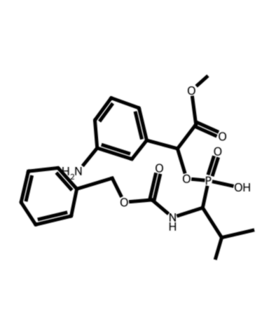 COC(=O)C(OP(=O)(O)C(NC(=O)OCc1ccccc1)C(C)C)c1cccc(N)c1